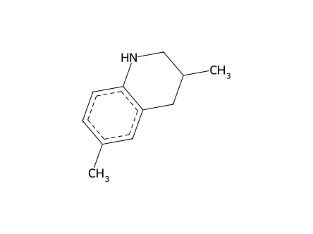 Cc1ccc2c(c1)CC(C)CN2